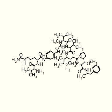 CC[C@H](C)[C@@H]([C@@H](CC(=O)N1CCC[C@H]1[C@H](OC)[C@@H](C)C(=O)N[C@H](C)Cc1ccccc1)OC)N(C)C(=O)[C@@H](NC(=O)[C@H](C(C)C)N(C)C(=O)OCc1ccc(NC(=O)[C@H](CCCNC(N)=O)NC(=O)[C@@H](N)C(C)C)cc1)C(C)C